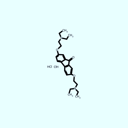 CCN(CC)CCOc1ccc2c(c1)C(=O)c1cc(OCCN(CC)CC)ccc1-2.Cl.Cl